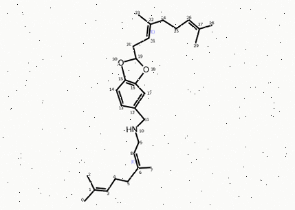 CC(C)=CCC/C(C)=C/CNCc1ccc2c(c1)OC(C/C=C(\C)CCC=C(C)C)O2